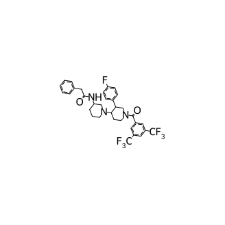 O=C(Cc1ccccc1)NC1CCCN(C2CCN(C(=O)c3cc(C(F)(F)F)cc(C(F)(F)F)c3)CC2c2ccc(F)cc2)C1